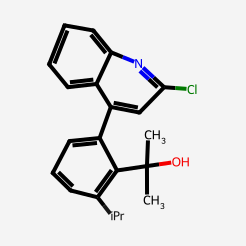 CC(C)c1cccc(-c2cc(Cl)nc3ccccc23)c1C(C)(C)O